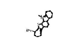 CC(C)c1cccc2c1sc1c2ccc2c3ccccc3n(C)c21